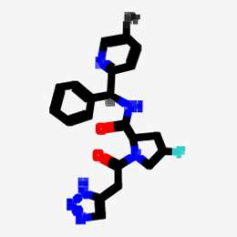 CC(C)c1ccc([C@@H](NC(=O)C2CC(F)CN2C(=O)Cc2cnn[nH]2)c2ccccc2)nc1